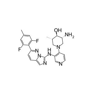 Cc1cc(F)c(-c2ccc3cnc(Nc4cnccc4N4C[C@@H](N)[C@H](O)[C@@H](C)C4)n3n2)c(F)c1